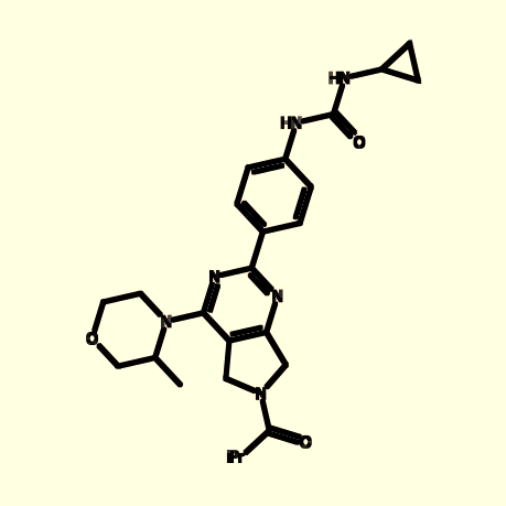 CC(C)C(=O)N1Cc2nc(-c3ccc(NC(=O)NC4CC4)cc3)nc(N3CCOCC3C)c2C1